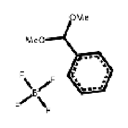 COC(OC)c1[c]cccc1.F[B-](F)(F)F